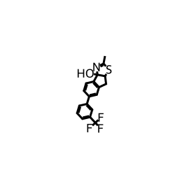 CC1=NC2(O)c3ccc(-c4cccc(C(F)(F)F)c4)cc3CC2S1